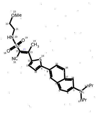 CCCN(CCC)c1ccc2cc(-c3ccc(/C(C)=C(\C#N)S(=O)(=O)NCCOC)s3)ccc2c1